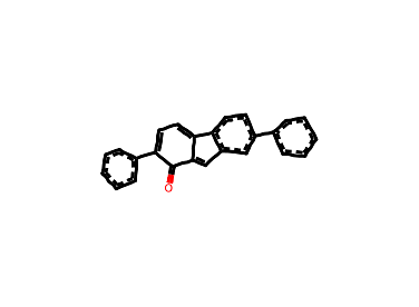 O=C1C2=Cc3cc(-c4ccccc4)ccc3C2=CC=C1c1ccccc1